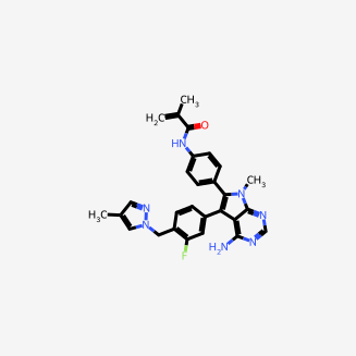 C=C(C)C(=O)Nc1ccc(-c2c(-c3ccc(Cn4cc(C)cn4)c(F)c3)c3c(N)ncnc3n2C)cc1